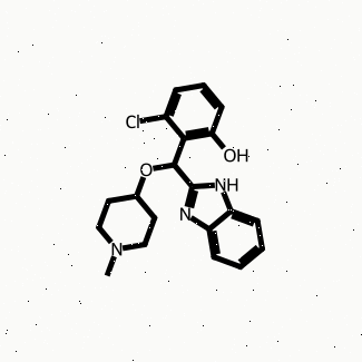 CN1CCC(OC(c2nc3ccccc3[nH]2)c2c(O)cccc2Cl)CC1